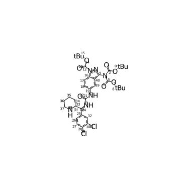 CC(C)(C)OC(=O)N(C(=O)OC(C)(C)C)c1nn(C(=O)OC(C)(C)C)c2ccc(NC(=O)N[C@@H](c3ccc(Cl)c(Cl)c3)[C@@H]3CCCCN3)cc12